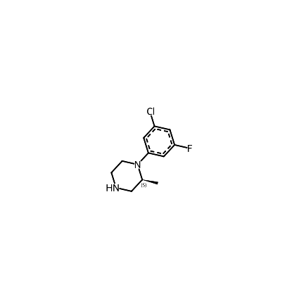 C[C@H]1CNCCN1c1cc(F)cc(Cl)c1